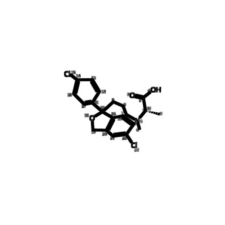 C[C@@H](C(=O)O)N(C)CCCC1(c2ccc(Cl)cc2)OCc2cc(Cl)ccc21